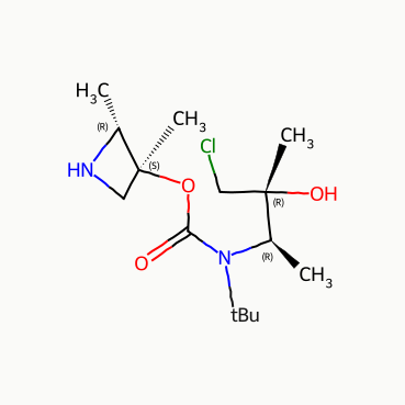 C[C@@H](N(C(=O)O[C@@]1(C)CN[C@@H]1C)C(C)(C)C)[C@@](C)(O)CCl